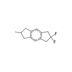 CC1Cc2cc3c(cc2C1)CC(F)(F)C3